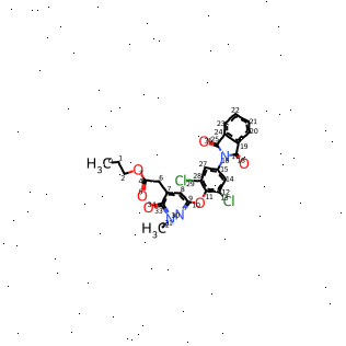 CCCOC(=O)Cc1cc(Oc2c(Cl)cc(N3C(=O)c4ccccc4C3=O)cc2Cl)nn(C)c1=O